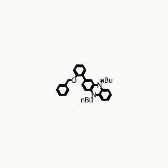 CCCCN1c2ccccc2N(CCCC)c2cc(-c3ccccc3OCc3ccccc3)ccc21